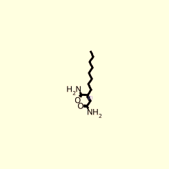 CCCCCCCC/C(=C/C(N)=O)C(N)=O